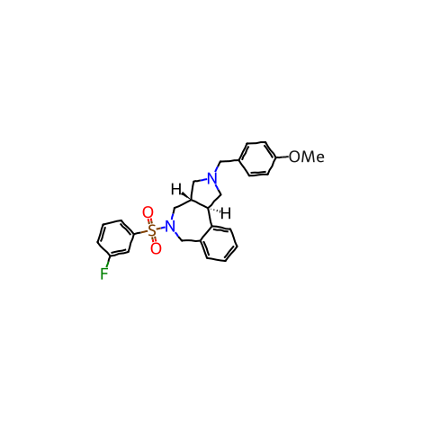 COc1ccc(CN2C[C@H]3CN(S(=O)(=O)c4cccc(F)c4)Cc4ccccc4[C@@H]3C2)cc1